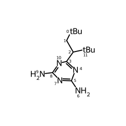 CC(C)(C)CC(c1nc(N)nc(N)n1)C(C)(C)C